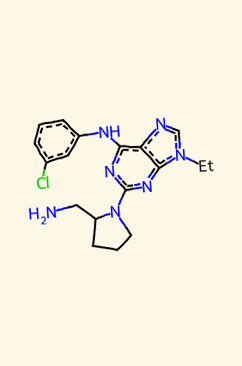 CCn1cnc2c(Nc3cccc(Cl)c3)nc(N3CCCC3CN)nc21